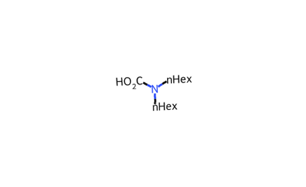 CCCCCCN(CCCCCC)C(=O)O